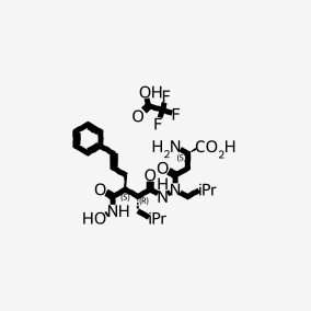 CC(C)C[C@@H](C(=O)NN(CC(C)C)C(=O)C[C@H](N)C(=O)O)[C@H](CC=Cc1ccccc1)C(=O)NO.O=C(O)C(F)(F)F